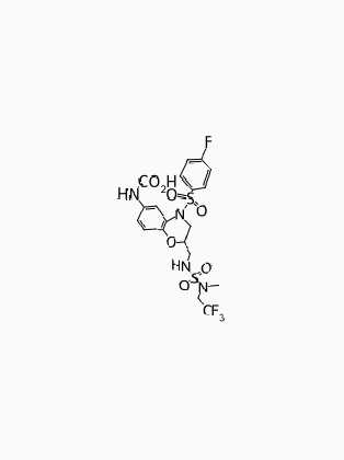 CN(CC(F)(F)F)S(=O)(=O)NCC1CN(S(=O)(=O)c2ccc(F)cc2)c2cc(NC(=O)O)ccc2O1